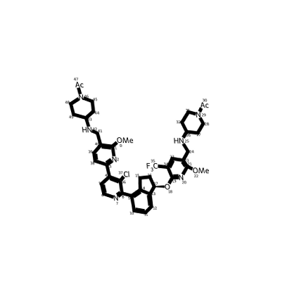 COc1nc(-c2ccnc(-c3cccc4c3CC[C@H]4Oc3nc(OC)c(CNC4CCN(C(C)=O)CC4)cc3C(F)(F)F)c2Cl)ccc1CNC1CCN(C(C)=O)CC1